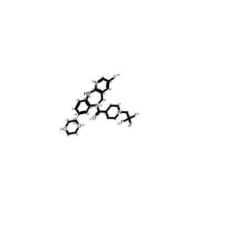 O=C(C1CCN(CC(F)(F)F)CC1)N1Cc2cc(F)cnc2Nc2ccc([C@H]3COCCO3)cc21